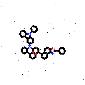 c1ccc(-c2nc3c(ccc4c(-c5ccc(N(c6ccc7c(c6)c6ccccc6n7-c6ccccc6)c6ccccc6-c6ccccc6)cc5)cccc43)o2)cc1